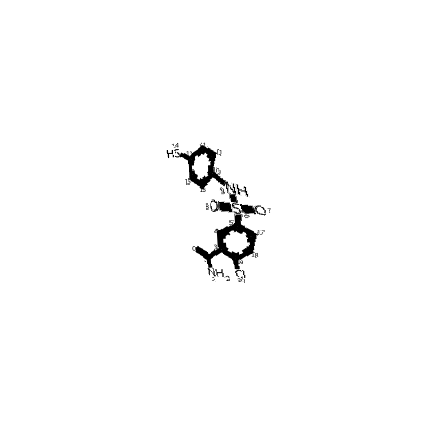 C=C(N)c1cc(S(=O)(=O)Nc2ccc(S)cc2)ccc1Cl